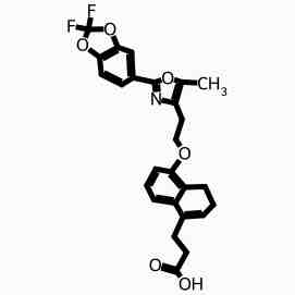 Cc1oc(-c2ccc3c(c2)OC(F)(F)O3)nc1CCOc1cccc2c1CCC=C2CCC(=O)O